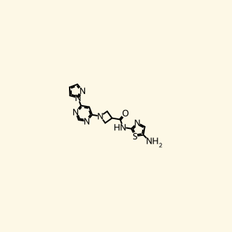 Nc1cnc(NC(=O)C2CN(c3cc(-n4cccn4)ncn3)C2)s1